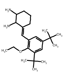 CCOc1c(C=C2CCCC(N)C2N)cc(C(C)(C)C)cc1C(C)(C)C